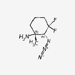 C[C@@]1(N)CCCC(F)(F)[C@@H]1N=[N+]=[N-]